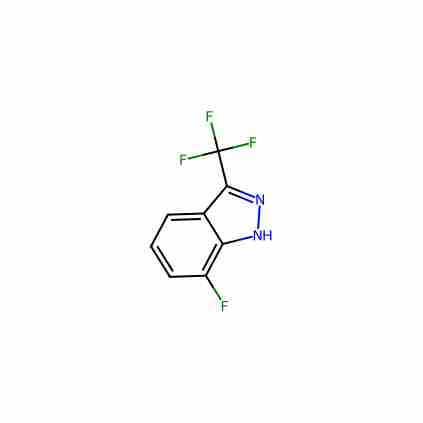 Fc1cccc2c(C(F)(F)F)n[nH]c12